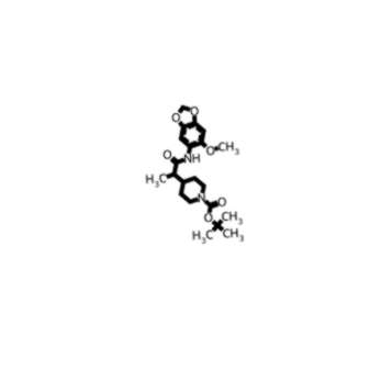 COc1cc2c(cc1NC(=O)C(C)C1CCN(C(=O)OC(C)(C)C)CC1)OCO2